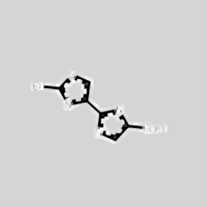 CCc1nc(-c2nc(C=O)cs2)cs1